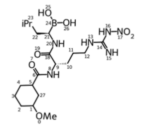 COC1CCCC(C(=O)N[C@@H](CCCNC(=N)N[N+](=O)[O-])C(=O)N[C@@H](CC(C)C)B(O)O)C1